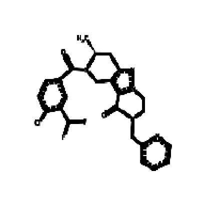 C[C@@H]1Cc2nn3c(c2CN1C(=O)c1ccc(Cl)c(C(F)F)c1)C(=O)N(Cc1ccccn1)CC3